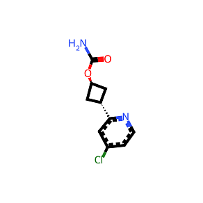 NC(=O)O[C@H]1C[C@H](c2cc(Cl)ccn2)C1